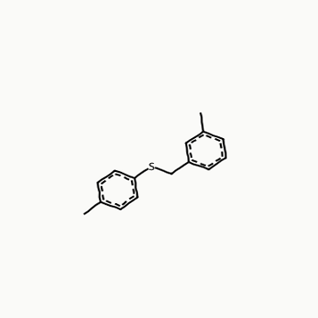 Cc1ccc(SCc2cccc(C)c2)cc1